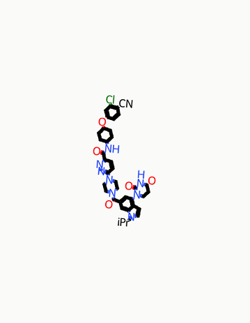 CC(C)n1ccc2c(N3CCC(=O)NC3=O)cc(C(=O)N3CCN(c4ccc(C(=O)NC5CCC(Oc6ccc(C#N)c(Cl)c6)CC5)nn4)CC3)cc21